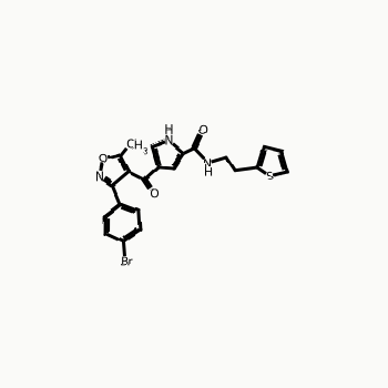 Cc1onc(-c2ccc(Br)cc2)c1C(=O)c1c[nH]c(C(=O)NCCc2cccs2)c1